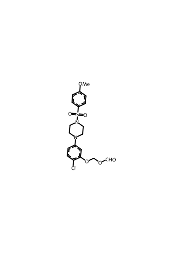 COc1ccc(S(=O)(=O)N2CCN(c3ccc(Cl)c(OCOC=O)c3)CC2)cc1